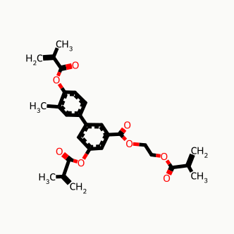 C=C(C)C(=O)OCCOC(=O)c1cc(OC(=O)C(=C)C)cc(-c2ccc(OC(=O)C(=C)C)c(C)c2)c1